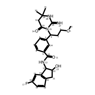 COCCC(c1cccc(C(=O)NC2c3cc(F)ccc3CC2O)c1)N1C(=N)NC(C)(C)CC1=O